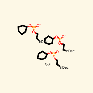 CCCCCCCCCCCCOP([O-])OC1CCCCC1.CCCCCCCCCCCCOP([O-])OC1CCCCC1.CCCCCCCCCCCCOP([O-])OC1CCCCC1.[Sb+3]